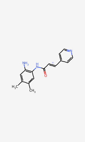 Cc1cc(N)c(NC(=O)/C=C/c2ccncc2)cc1C